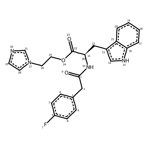 O=C(Cc1ccc(F)cc1)N[C@H](Cc1c[nH]c2ccccc12)C(=O)OCCn1ccnc1